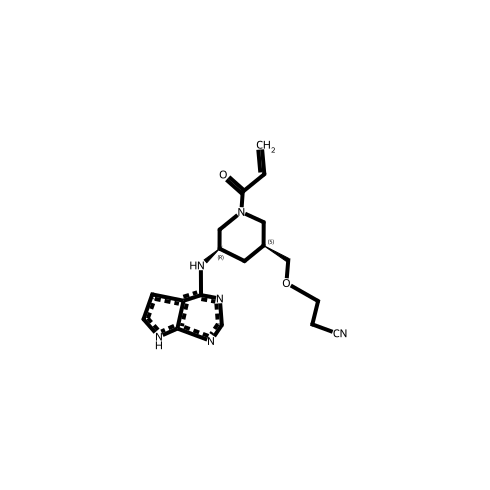 C=CC(=O)N1C[C@@H](COCCC#N)C[C@@H](Nc2ncnc3[nH]ccc23)C1